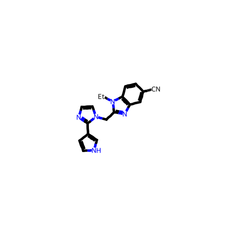 CCn1c(Cn2ccnc2-c2cc[nH]c2)nc2cc(C#N)ccc21